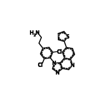 NCCc1cc(Cl)c(-n2cnc3cnc4ccc(-c5cccs5)cc4c32)c(Cl)c1